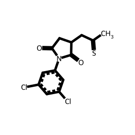 CC(=S)CC1CC(=O)N(c2cc(Cl)cc(Cl)c2)C1=O